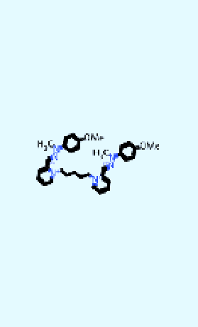 COc1ccc(N(C)/N=C/c2cccc[n+]2CCCCC[n+]2ccccc2/C=N/N(C)c2ccc(OC)cc2)cc1